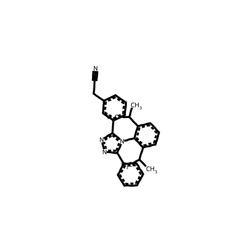 CC(C)c1cccc(C(C)C)c1-n1c(-c2ccccc2)nnc1-c1cccc(CC#N)c1